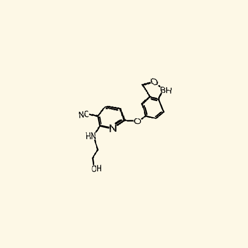 N#Cc1ccc(Oc2ccc3c(c2)COB3)nc1NCCO